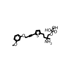 COc1cccc(OCC#Cc2ccc(CCC(C)(N)COP(=O)(O)O)s2)c1